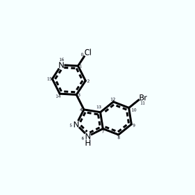 Clc1cc(-c2n[nH]c3ccc(Br)cc23)ccn1